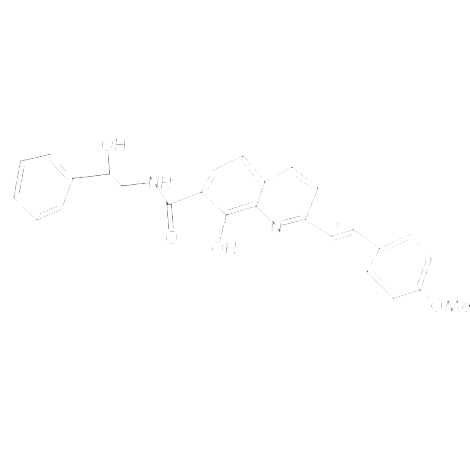 COc1ccc(/C=C/c2ccc3ccc(C(=O)NCC(O)c4ccccc4)c(O)c3n2)cc1